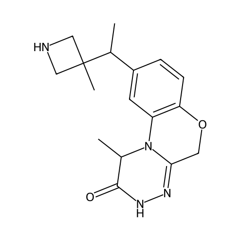 CC1C(=O)NN=C2COc3ccc(C(C)C4(C)CNC4)cc3N21